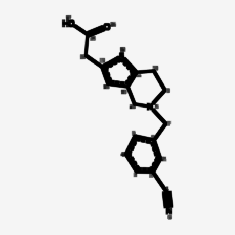 N#Cc1cccc(CN2CCc3sc(CC(=O)O)cc3C2)c1